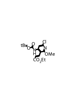 CCOC(=O)/C=C/c1c(NC(=O)OC(C)(C)C)cc(Cl)nc1OC